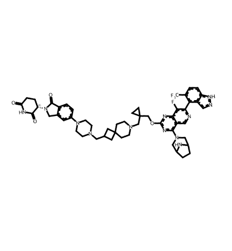 O=C1CC[C@H](N2Cc3cc(N4CCN(CC5CC6(CCN(CC7(COc8nc(N9CC%10CCC(C9)N%10)c9cnc(-c%10c(C(F)(F)F)ccc%11[nH]ncc%10%11)c(F)c9n8)CC7)CC6)C5)CC4)ccc3C2=O)C(=O)N1